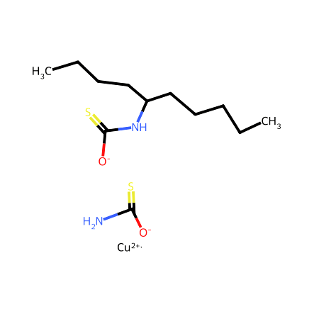 CCCCCC(CCCC)NC([O-])=S.NC([O-])=S.[Cu+2]